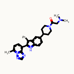 Cc1ccc(-c2[nH]c3ccc(C4CCN(C(=O)CN(C)C)CC4)cc3c2C(C)C)c2ncnn12